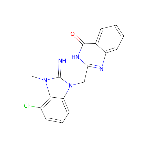 Cn1c(=N)n(Cc2nc3ccccc3c(=O)[nH]2)c2cccc(Cl)c21